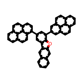 c1ccc2cc3c(cc2c1)oc1c(-c2cc4ccc5cccc6ccc(c2)c4c56)cc(-c2ccc4ccc5cccc6ccc2c4c56)cc13